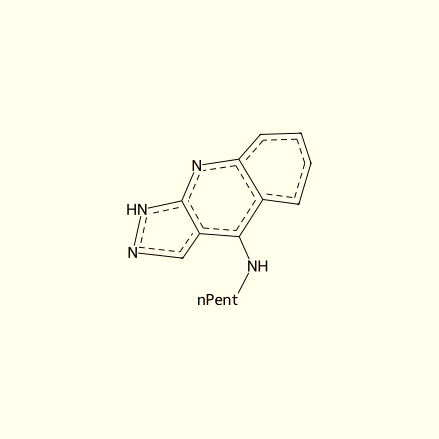 CCCCCNc1c2ccccc2nc2[nH]ncc12